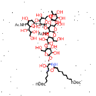 CCCCCCCCCCCCC/C=C/[C@@H](O)[C@H](CO[C@@H]1OC(CO)[C@@H](O[C@@H]2OC(CO)[C@H](O[C@@H]3OC(CO)[C@H](O[C@H]4OC(C)[C@@H](O)C(O)[C@@H]4O)[C@H](O[C@@H]4OC(CO)[C@H](O)[C@H](O[C@]5(C(=O)O)CC(O)[C@@H](NC(C)=O)C([C@H](O)[C@H](O)CO)O5)C4O)C3NC(C)=O)[C@H](O)C2O)[C@H](O)C1O)NC(=O)CCCCCCCCCCCCCCCCC